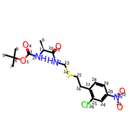 C[C@H](NC(=O)OC(C)(C)C)C(=O)NCSCCc1ccc([N+](=O)[O-])cc1Cl